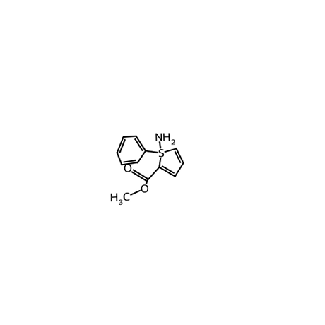 COC(=O)C1=CC=CS1(N)c1ccccc1